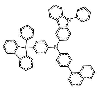 c1ccc(-n2c3ccccc3c3cc(N(c4ccc(-c5cccc6ccccc56)cc4)c4ccc(C5(c6ccccc6)c6ccccc6-c6ccccc65)cc4)ccc32)cc1